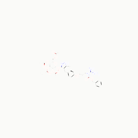 CC(=O)OC[C@H]1O[C@@H](Oc2n[nH]c(C(C)C)c2Cc2ccc(OCCCN(C(=N)N)C(=O)OCc3ccccc3)cc2C)[C@H](OC(C)=O)[C@@H](OC(C)=O)[C@@H]1OC(C)=O